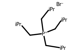 CC(C)C[P+](CC(C)C)(CC(C)C)CC(C)C.[Br-]